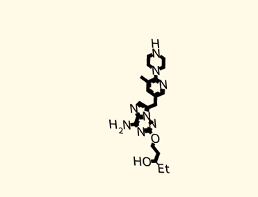 CC[C@H](O)CCOc1nc(N)c2ncc(Cc3cnc(N4CCNCC4)c(C)c3)n2n1